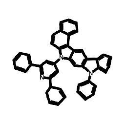 C1=CCC(c2cc(-n3c4cc5c(cc4c4c6ccccc6ccc43)c3ccccc3n5-c3ccccc3)cc(-c3ccccc3)n2)C=C1